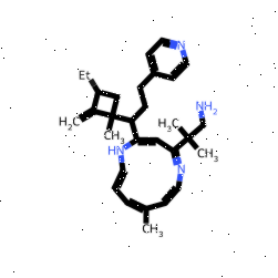 C=C1C(CC)CC1(C)C(CCc1ccncc1)/C1=C/C(C(C)(C)CN)=N\C=C/C(C)=C\C=C\N1